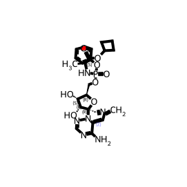 C=C/C=C1/C(N)=NC=NN1[C@]1(C#N)O[C@H](COP(=O)(N[C@@H](C)C(=O)OC2CCC2)Oc2ccccc2)[C@@H](O)[C@H]1O